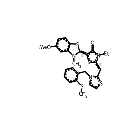 CCn1c(=O)/c(=C2\Sc3ccc(OC)cc3N2C)s/c1=C\c1scc[n+]1Cc1ccccc1SC(F)(F)F